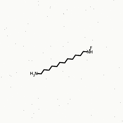 NCCCCCCCCCCCCNF